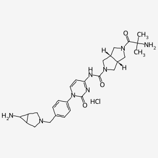 CC(C)(N)C(=O)N1C[C@H]2CN(C(=O)Nc3ccn(-c4ccc(CN5CC6C(N)C6C5)cc4)c(=O)n3)C[C@H]2C1.Cl